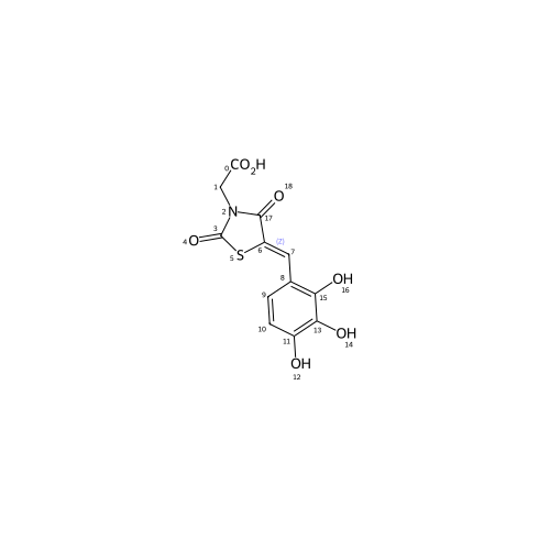 O=C(O)CN1C(=O)S/C(=C\c2ccc(O)c(O)c2O)C1=O